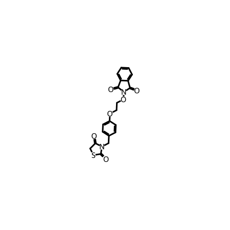 O=C1CSC(=O)N1Cc1ccc(OCCON2C(=O)c3ccccc3C2=O)cc1